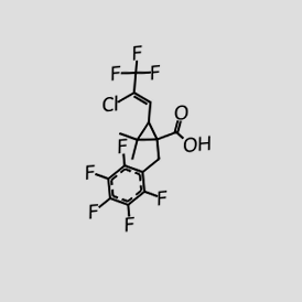 CC1(C)C(C=C(Cl)C(F)(F)F)C1(Cc1c(F)c(F)c(F)c(F)c1F)C(=O)O